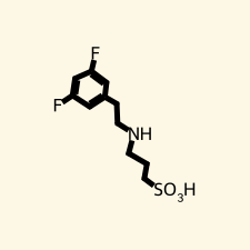 O=S(=O)(O)CCCNCCc1cc(F)cc(F)c1